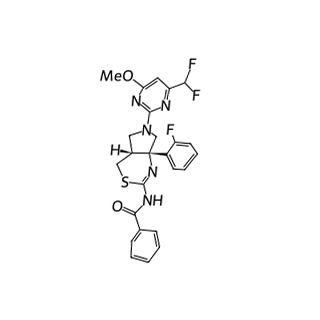 COc1cc(C(F)F)nc(N2C[C@H]3CSC(NC(=O)c4ccccc4)=N[C@@]3(c3ccccc3F)C2)n1